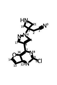 N#CCC1(n2cc(-c3nc(Cl)nc4ccoc34)cn2)CNC1